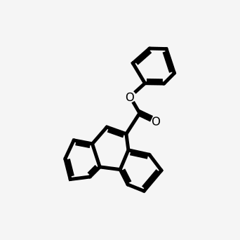 O=C(Oc1ccccc1)c1cc2ccccc2c2ccccc12